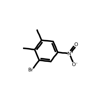 Cc1cc([N+](=O)[O-])cc(Br)c1C